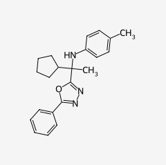 Cc1ccc(NC(C)(c2nnc(-c3ccccc3)o2)C2CCCC2)cc1